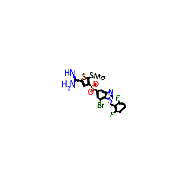 CSc1sc(C(=N)N)cc1S(=O)(=O)c1cc(Br)c2c(c1)ncn2Cc1c(F)cccc1F